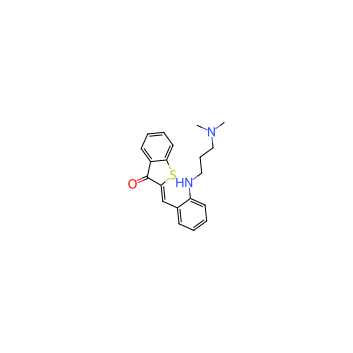 CN(C)CCCNc1ccccc1C=C1Sc2ccccc2C1=O